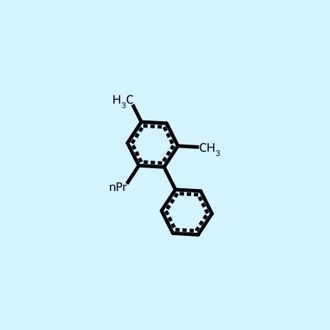 CCCc1cc(C)cc(C)c1-c1ccccc1